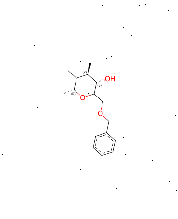 CC1[C@@H](C)[C@H](O)C(COCc2ccccc2)O[C@@H]1C